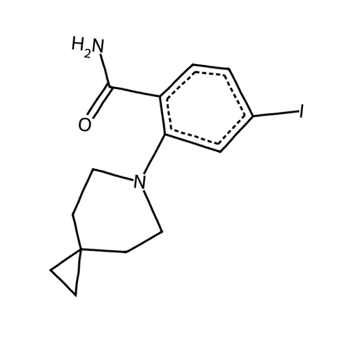 NC(=O)c1ccc(I)cc1N1CCC2(CC1)CC2